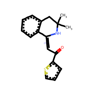 CC1(C)Cc2ccccc2/C(=C/C(=O)c2cccs2)N1